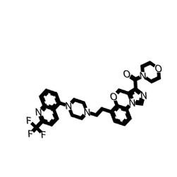 O=C(c1ncn2c1COc1c(CCN3CCN(c4cccc5nc(C(F)(F)F)ccc45)CC3)cccc1-2)N1CCOCC1